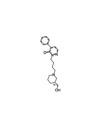 O=c1c(-c2ccccc2)ccnn1CCCCN1CCC[C@H](CO)C1